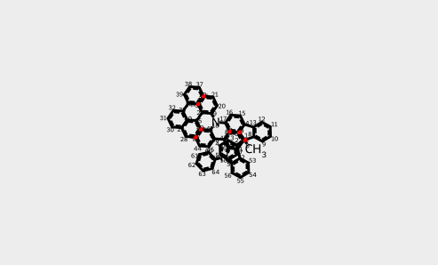 CC1(c2ccccc2)c2ccccc2-c2ccc(N(c3ccccc3-c3cccc4cccc(-c5ccccc5)c34)c3ccccc3-c3cccc4c5ccccc5n(-c5ccccc5)c34)cc21